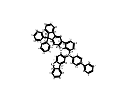 c1ccc(-c2ccc(N(c3ccc4oc5ccccc5c4c3)c3cccc4c3oc3cc5c(cc34)-c3ccccc3C5(c3ccccc3)c3ccccc3)cc2)cc1